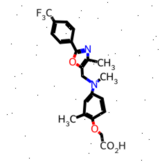 Cc1cc(N(C)Cc2oc(-c3ccc(C(F)(F)F)cc3)nc2C)ccc1OCC(=O)O